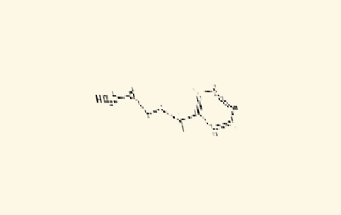 O=C(O)OCCNc1ccccc1